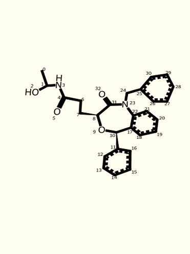 CC(O)NC(=O)CC[C@@H]1O[C@H](c2ccccc2)c2ccccc2N(Cc2ccccc2)C1=O